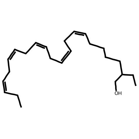 CC/C=C\C/C=C\C/C=C\C/C=C\C/C=C\CCCCC(CC)CO